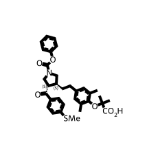 CSc1ccc(C(=O)[C@@H]2CN(C(=O)Oc3ccccc3)C[C@H]2CCc2cc(C)c(OC(C)(C)C(=O)O)c(C)c2)cc1